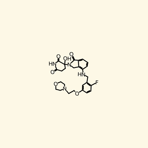 O=C1CCC(O)(N2Cc3c(NCc4cc(OCCN5CCOCC5)ccc4F)cccc3C2=O)C(=O)N1